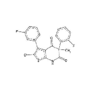 CC1(c2ccccc2F)C(=O)Nc2sc(Cl)c(-c3cccc(F)c3)c2C1=O